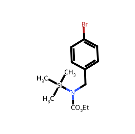 CCOC(=O)N(Cc1ccc(Br)cc1)[Si](C)(C)C